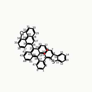 c1ccc(-c2cccc3c2sc2ccccc23)c(-c2c3ccccc3c(-c3cc4cccc5oc6cccc3c6c45)c3ccccc23)c1